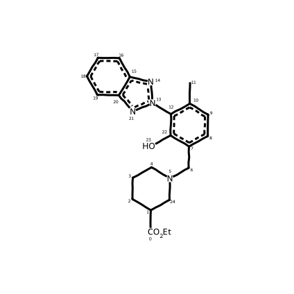 CCOC(=O)C1CCCN(Cc2ccc(C)c(-n3nc4ccccc4n3)c2O)C1